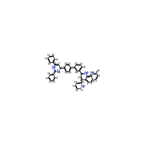 Cc1ccc2ccc3c(-c4ccccn4)cc(-c4cccc(-c5ccc(-c6cc(-c7ccccc7)nc(-c7ccccc7)n6)cc5)c4)nc3c2n1